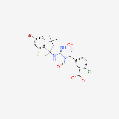 COC(=O)c1cc([C@@H](CO)N(C=O)C(=N)N[C@](C)(CC(C)(C)C)c2ccc(Br)cc2F)ccc1Cl